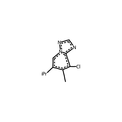 Cc1c(C(C)C)cn2ncnc2c1Cl